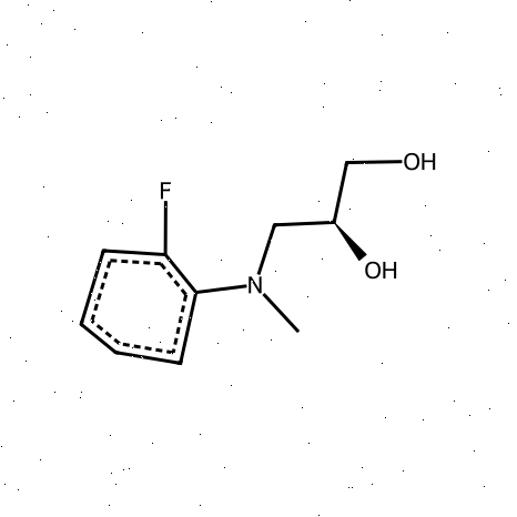 CN(C[C@H](O)CO)c1ccccc1F